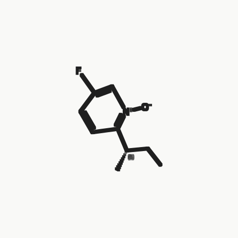 CC[C@H](C)c1ccc(F)c[n+]1[O-]